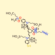 CCNC(=O)C1(C(=O)NCCCN=[N+]=[N-])CC(/C=C/C2=[N+](CCCS(=O)(=O)O)c3ccc(S)cc3C2(C)C)=CC(=C/C=C2/N(CCCS(=O)(=O)O)c3ccc(S(=O)(=O)N(C)CCCC(=O)O)cc3C2(C)C)/C1